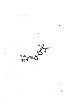 CCCNC(N)=Nc1nc(-c2ccc(CNC(=NC#N)NC)o2)cs1